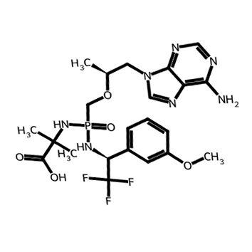 COc1cccc([C@H](NP(=O)(CO[C@@H](C)Cn2cnc3c(N)ncnc32)NC(C)(C)C(=O)O)C(F)(F)F)c1